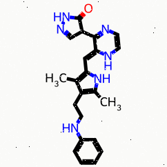 Cc1[nH]c(C=C2NC=CN=C2C2C=NNC2=O)c(C)c1CCNc1ccccc1